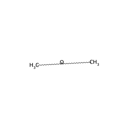 CCCCCCCCCCCCCCCCCCCCCCCCC(=O)CCCCCCCCCCCCCCCCCCCC